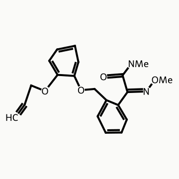 C#CCOc1ccccc1OCc1ccccc1/C(=N/OC)C(=O)NC